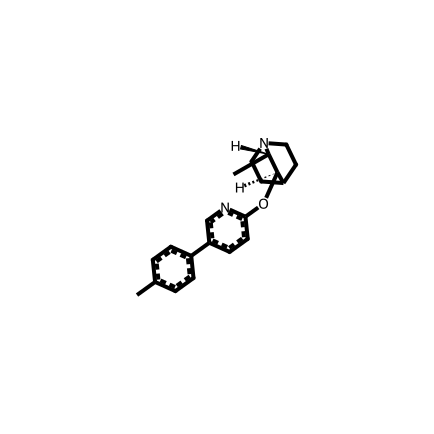 Cc1ccc(-c2ccc(O[C@@H]3C4CCN(CC4)[C@H]3C)nc2)cc1